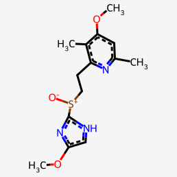 COc1c[nH]c([S+]([O-])CCc2nc(C)cc(OC)c2C)n1